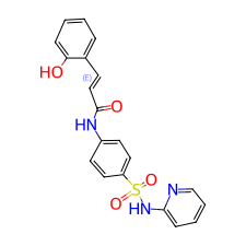 O=C(/C=C/c1ccccc1O)Nc1ccc(S(=O)(=O)Nc2ccccn2)cc1